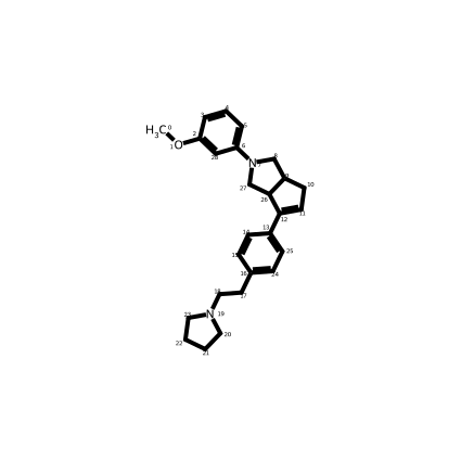 COc1cccc(N2CC3CC=C(c4ccc(CCN5CCCC5)cc4)C3C2)c1